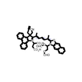 C#CCC1(CC#N)C(/C(C)=C/C=C/C(C)=C2/Oc3cc4ccccc4cc3N2C(COC=O)OC=O)=[N+](C(CC(=O)O)C(=O)O)c2c1c1ccccc1c1ccccc21